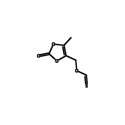 Cc1oc(=O)oc1COC=S